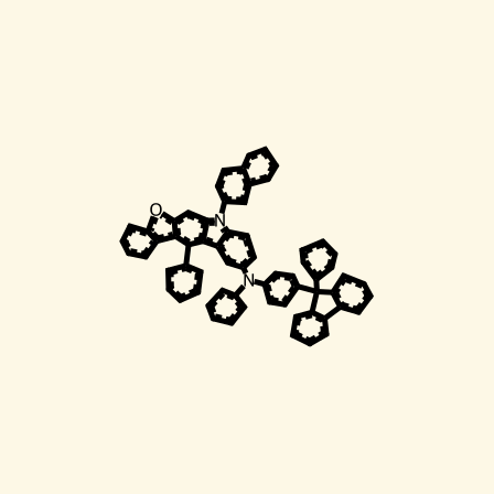 c1ccc(-c2c3c(cc4c2c2cc(N(c5ccccc5)c5ccc(C6(c7ccccc7)c7ccccc7-c7ccccc76)cc5)ccc2n4-c2ccc4ccccc4c2)oc2ccccc23)cc1